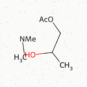 CC(=O)OCC(C)O.CNC